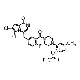 Cc1cc[n+](OC(=O)C(F)(F)F)c(N2CCN(C(=O)c3cc(Cc4c[nH]c(=O)c5cc(Cl)c(Cl)n45)ccc3F)CC2)c1